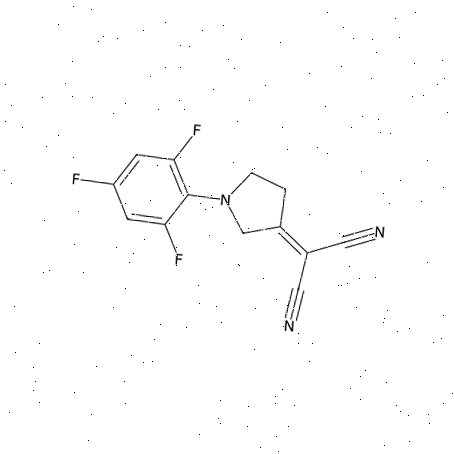 N#CC(C#N)=C1CCN(c2c(F)cc(F)cc2F)C1